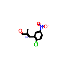 C/C(C=O)=C\c1cc([N+](=O)[O-])ccc1Cl